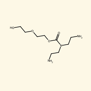 NCCN(CCN)C(=O)OCCOCCO